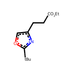 CCOC(=O)CCc1coc(C(C)(C)C)n1